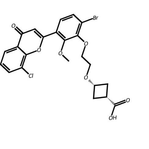 COc1c(-c2cc(=O)c3cccc(Cl)c3o2)ccc(Br)c1OCCO[C@H]1C[C@@H](C(=O)O)C1